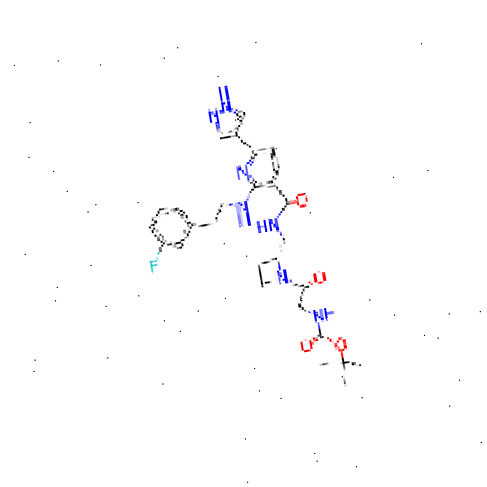 CC(C)(C)OC(=O)NCC(=O)N1CC[C@@H]1CNC(=O)c1ccc(-c2cn[nH]c2)nc1NCCc1cccc(F)c1